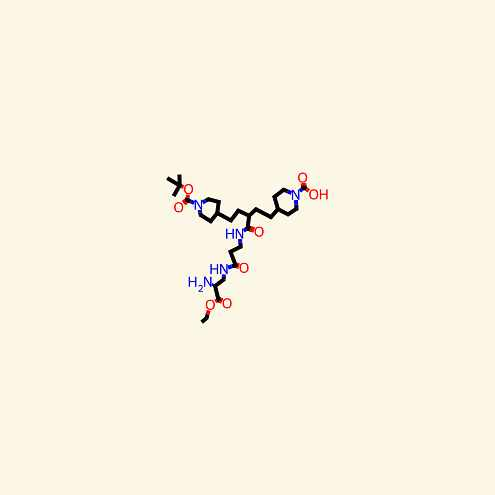 CCOC(=O)[C@@H](N)CNC(=O)CCNC(=O)C(CCC1CCN(C(=O)O)CC1)CCC1CCN(C(=O)OC(C)(C)C)CC1